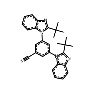 CC(C)(C)c1nc2ccccc2n1-c1cc(C#N)cc(-n2c(C(C)(C)C)nc3ccccc32)c1